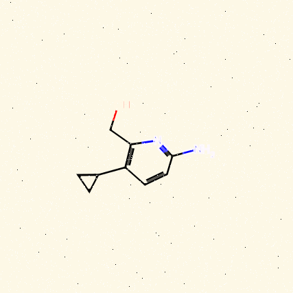 Nc1ccc(C2CC2)c(CO)n1